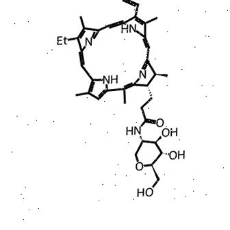 C=Cc1c(C)c2cc3nc(c(C)c4cc(C)c(cc5nc(cc1[nH]2)C(C)=C5CC)[nH]4)[C@@H](CCC(=O)N[C@H]1CO[C@H](CO)[C@@H](O)[C@@H]1O)[C@@H]3C